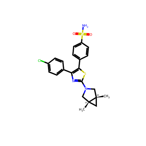 C[C@@]12CN(c3nc(-c4ccc(Cl)cc4)c(-c4ccc(S(N)(=O)=O)cc4)s3)C[C@]1(C)C2